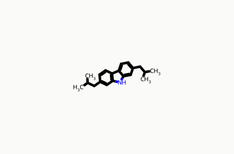 CC(C)Cc1ccc2c(c1)[nH]c1cc(CC(C)C)ccc12